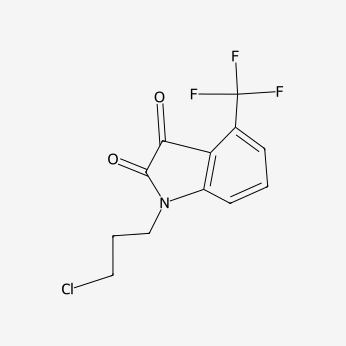 O=C1C(=O)N(CCCCl)c2cccc(C(F)(F)F)c21